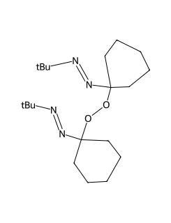 CC(C)(C)N=NC1(OOC2(N=NC(C)(C)C)CCCCC2)CCCCC1